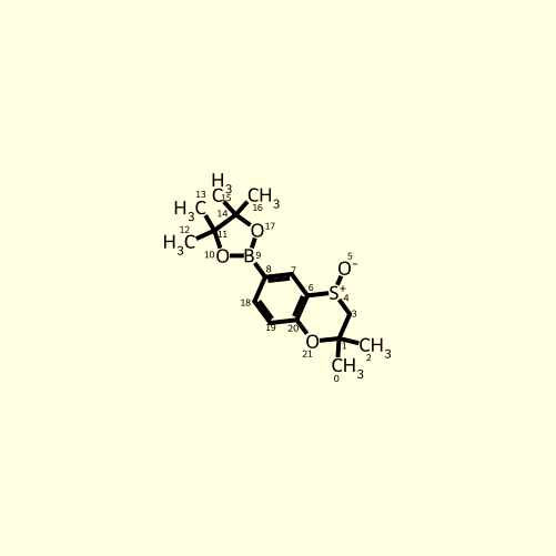 CC1(C)C[S+]([O-])c2cc(B3OC(C)(C)C(C)(C)O3)ccc2O1